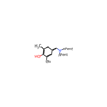 CCCCCN(C=C1C=C(C(C)(C)C)C(O)=C(C)C1)CCCCC